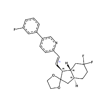 Fc1cccc(-c2ccc(/C=C/[C@H]3[C@@H]4CC(F)(F)CC[C@H]4CC34OCCO4)nc2)c1